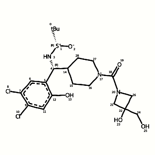 CC(C)(C)[S@+]([O-])N[C@@H](c1cc(Cl)c(Cl)cc1O)C1CCN(C(=O)N2CC(O)(CO)C2)CC1